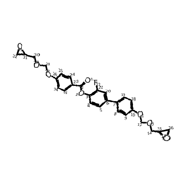 O=C(Oc1ccc(-c2ccc(OCOCC3CO3)cc2)cc1F)c1ccc(OCOCC2CO2)cc1